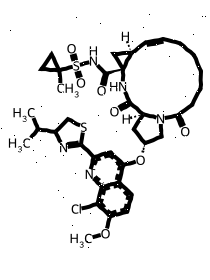 COc1ccc2c(O[C@@H]3C[C@H]4C(=O)N[C@]5(C(=O)NS(=O)(=O)C6(C)CC6)C[C@H]5/C=C\CCCCCC(=O)N4C3)cc(C3=NC(C(C)C)CS3)nc2c1Cl